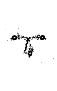 Cc1ccc(S(=O)(=O)OCCOCC(CCCCCCCN)(COCCOS(=O)(=O)c2ccc(C)cc2)COCCOS(=O)(=O)c2ccc(C)cc2)cc1